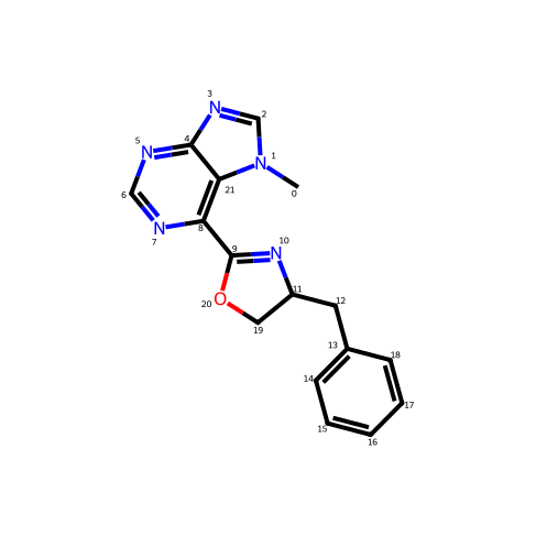 Cn1cnc2ncnc(C3=NC(Cc4ccccc4)CO3)c21